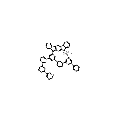 CC1(C)c2ccccc2-c2cc3c4ccccc4n(-c4cc(C5=CCCC(c6cncc(-c7cncnc7)c6)=C5)cc(-c5cccc(-c6cncc(-c7cncnc7)c6)c5)c4)c3cc21